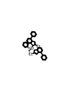 CCC1=Cc2c(-c3ccccc3)cccc2[CH]1[Zr]([CH]1C(CC)=Cc2c(-c3ccccc3)cccc21)=[Si](C)c1ccccc1